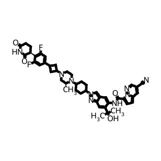 C[C@@H]1CN(C2CC(c3cc(F)c([C@@H]4CCC(=O)NC4=O)c(F)c3)C2)CCN1C1CCC(n2cc3cc(NC(=O)c4ccc5cc(C#N)cnn45)c(C(C)(C)O)cc3n2)CC1